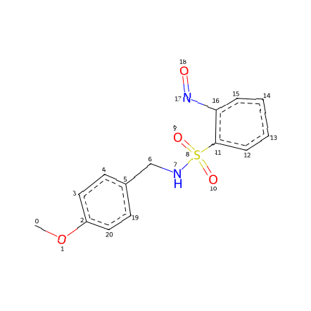 COc1ccc(CNS(=O)(=O)c2ccccc2N=O)cc1